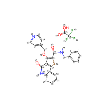 CN(Cc1ccccc1)C(=O)c1sc2c(c1OCc1ccncc1)c(=O)n(C)c1ccccc21.O=C(O)C(F)(F)F